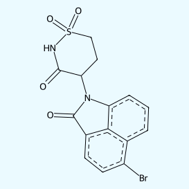 O=C1NS(=O)(=O)CCC1N1C(=O)c2ccc(Br)c3cccc1c23